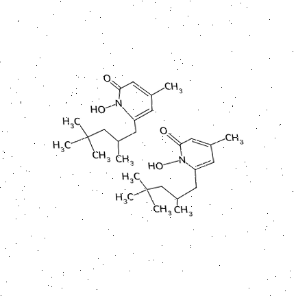 Cc1cc(CC(C)CC(C)(C)C)n(O)c(=O)c1.Cc1cc(CC(C)CC(C)(C)C)n(O)c(=O)c1